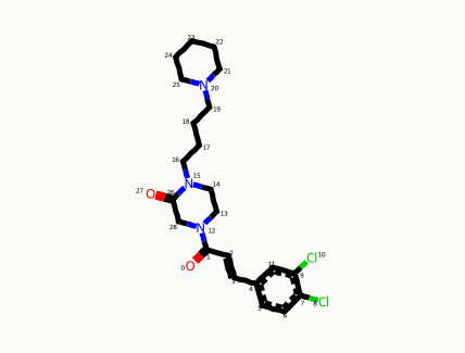 O=C(C=Cc1ccc(Cl)c(Cl)c1)N1CCN(CCCCN2CCCCC2)C(=O)C1